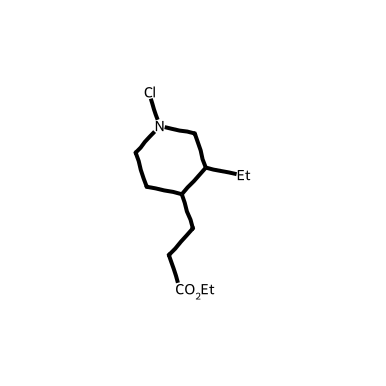 CCOC(=O)CCC1CCN(Cl)CC1CC